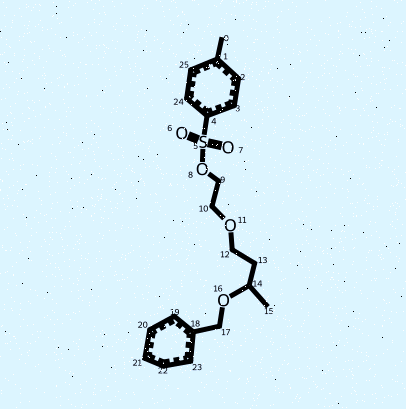 Cc1ccc(S(=O)(=O)OCCOCCC(C)OCc2ccccc2)cc1